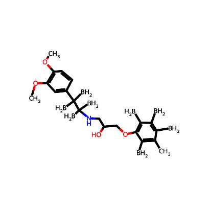 Bc1c(B)c(C)c(B)c(OCC(O)CNC(B)(B)C(B)(B)c2ccc(OC)c(OC)c2)c1B